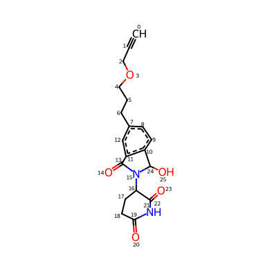 C#CCOCCCc1ccc2c(c1)C(=O)N(C1CCC(=O)NC1=O)C2O